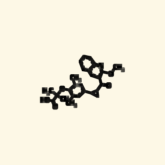 COc1nc2ccccc2cc1C(=O)C1CC1c1cc(C)c(OC(C)(C)C(=O)O)c(C)c1